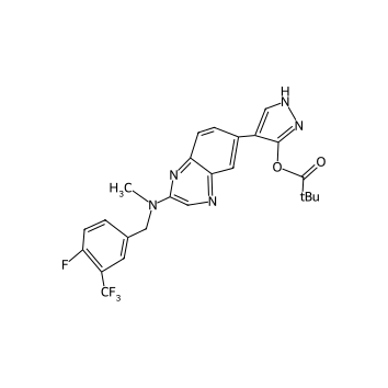 CN(Cc1ccc(F)c(C(F)(F)F)c1)c1cnc2cc(-c3c[nH]nc3OC(=O)C(C)(C)C)ccc2n1